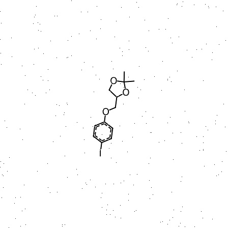 CC1(C)OCC(COc2ccc(I)cc2)O1